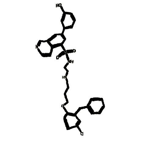 O=S(=O)(NCCNCCCOc1ccc(Cl)cc1Cc1ccccc1)c1cc(-c2cccc(O)c2)cc2cnccc12